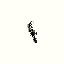 CCOC(=O)C(NC(=O)c1ccc(C=Cc2nc3ccccc3s2)cc1)Oc1ccc(CCCS(=O)(=O)c2ccc(Cl)cc2)cc1